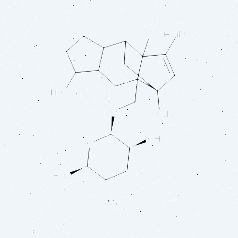 CO[C@H]1C[C@H](O)[C@H](OCC23CC4C(C)CCC4C4CC2(C=O)C=C(C(C)C)C43C(=O)O)O[C@@H]1C